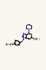 COc1ccc(Cn2cnc3c(N4CCCCC4)cc(OC)cc32)cc1